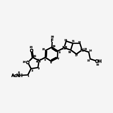 CC(=O)NCC1CN(c2ccc(N3CC4CN(CCO)CC43)c(F)c2)C(=O)O1